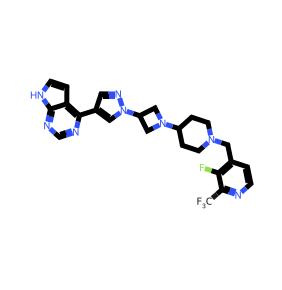 Fc1c(CN2CCC(N3C[C](n4cc(-c5ncnc6[nH]ccc56)cn4)C3)CC2)ccnc1C(F)(F)F